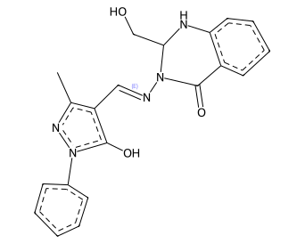 Cc1nn(-c2ccccc2)c(O)c1/C=N/N1C(=O)c2ccccc2NC1CO